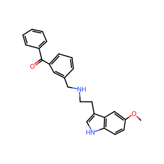 COc1ccc2[nH]cc(CCNCc3cccc(C(=O)c4ccccc4)c3)c2c1